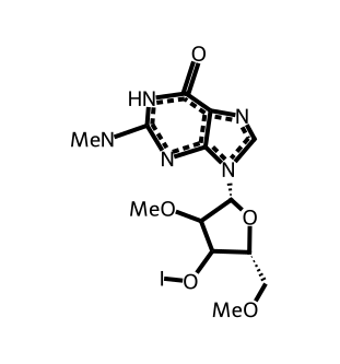 CNc1nc2c(ncn2[C@@H]2O[C@H](COC)C(OI)C2OC)c(=O)[nH]1